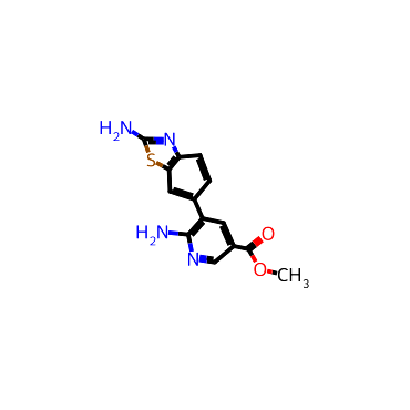 COC(=O)c1cnc(N)c(-c2ccc3nc(N)sc3c2)c1